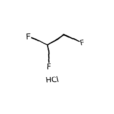 Cl.FCC(F)F